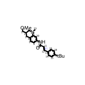 COCC1Cc2ccc(NC(=O)/C=C/c3ccc(C(C)(C)C)cc3)cc2N(C)C1